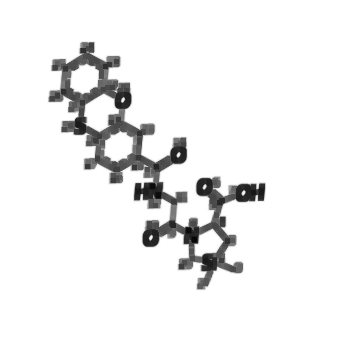 C[Si]1(C)CC(C(=O)O)N(C(=O)CNC(=O)c2ccc3c(c2)Oc2ccccc2S3)C1